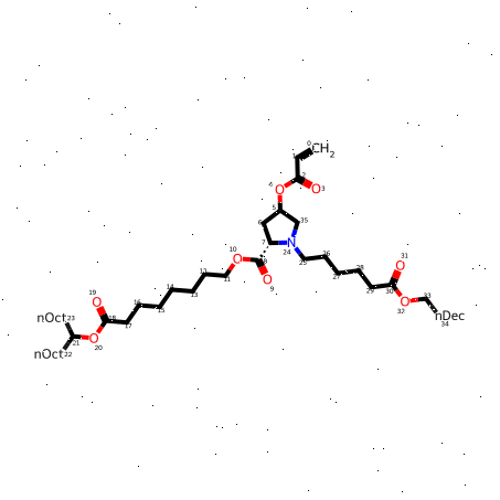 C=CC(=O)OC1C[C@@H](C(=O)OCCCCCCCC(=O)OC(CCCCCCCC)CCCCCCCC)N(CCCCCC(=O)OCCCCCCCCCCC)C1